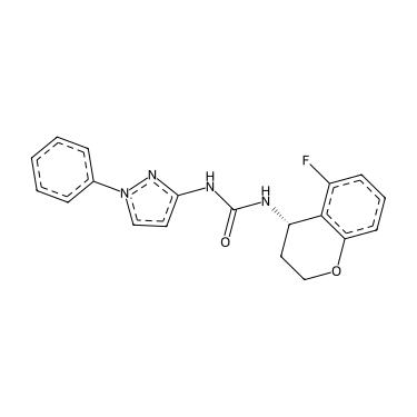 O=C(Nc1ccn(-c2ccccc2)n1)N[C@H]1CCOc2cccc(F)c21